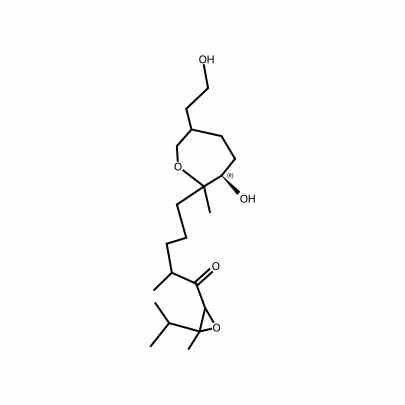 CC(CCCC1(C)OCC(CCO)CC[C@H]1O)C(=O)C1OC1(C)C(C)C